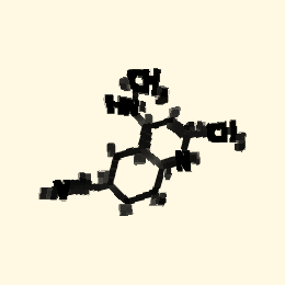 CNc1cc(C)nc2c1CC(C#N)CC2